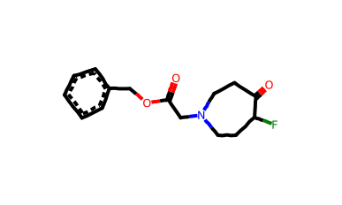 O=C(CN1CCC(=O)C(F)CC1)OCc1ccccc1